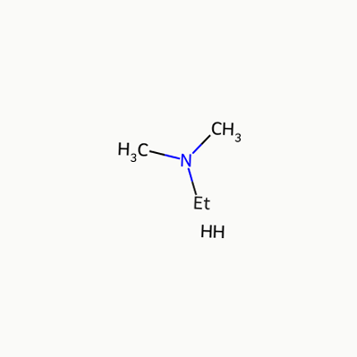 CCN(C)C.[HH]